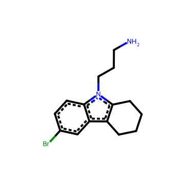 NCCCn1c2c(c3cc(Br)ccc31)CCCC2